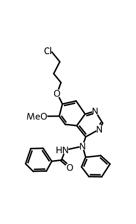 COc1cc2c(N(NC(=O)c3ccccc3)c3ccccc3)ncnc2cc1OCCCCl